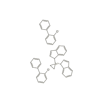 C1=C[CH]([Zr+2]2([CH]3C=Cc4ccccc43)[CH2][CH2]2)c2ccccc21.[O-]c1ccccc1-c1ccccc1.[O-]c1ccccc1-c1ccccc1